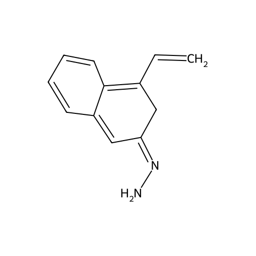 C=CC1=c2ccccc2=CC(=NN)C1